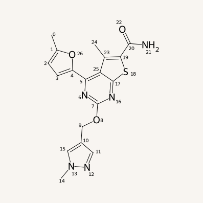 Cc1ccc(-c2nc(OCc3cnn(C)c3)nc3sc(C(N)=O)c(C)c23)o1